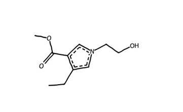 CCc1cn(CCO)cc1C(=O)OC